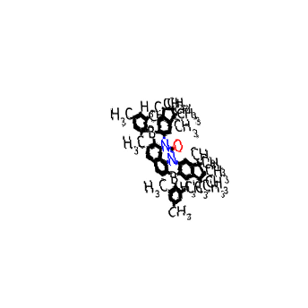 Cc1cc(C)c(B2c3cc4c(cc3N3C(=O)N5c6cc7c(cc6B(c6c(C)cc(C)cc6C)c6ccc8ccc2c3c8c65)C(C)(C)C(C)(C)C7(C)C)C(C)(C)C(C)(C)C4(C)C)c(C)c1